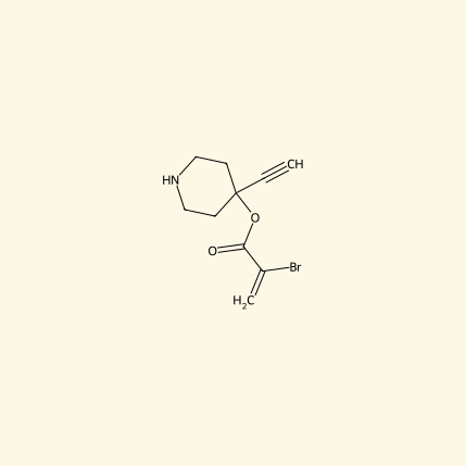 C#CC1(OC(=O)C(=C)Br)CCNCC1